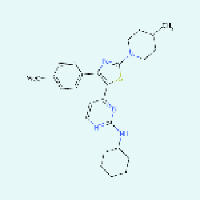 COc1ccc(-c2nc(N3CCC(C)CC3)sc2-c2ccnc(NC3CCCCC3)n2)cc1